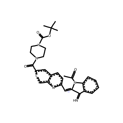 CC(=O)N1/C(=C\c2ccc3cc(C(=O)N4CCN(C(=O)OC(C)(C)C)CC4)ccc3n2)C(=N)c2ccccc21